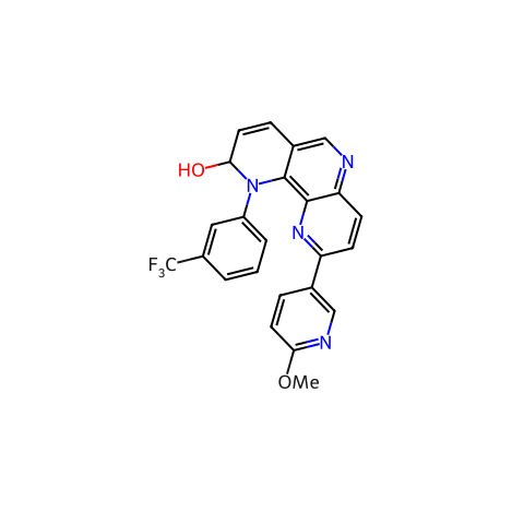 COc1ccc(-c2ccc3ncc4c(c3n2)N(c2cccc(C(F)(F)F)c2)C(O)C=C4)cn1